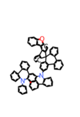 c1ccc(-c2ccccc2N(c2ccc3c(c2)-c2ccccc2-c2ccccc2N3c2ccccc2)c2ccc3c(c2)-c2ccccc2-c2ccccc2C32c3ccccc3-c3c2ccc2oc4ccccc4c32)cc1